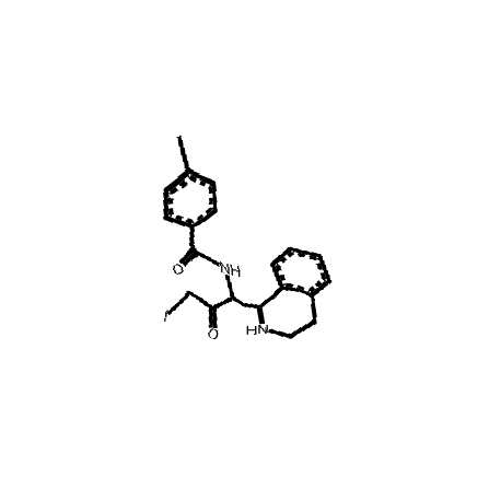 Cc1ccc(C(=O)NC(C(=O)CI)C2NCCc3ccccc32)cc1